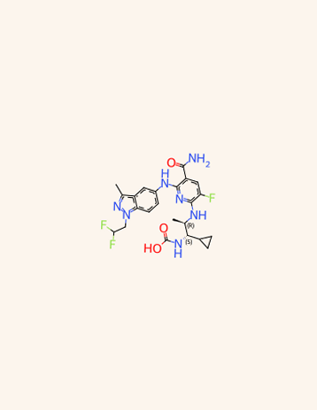 Cc1nn(CC(F)F)c2ccc(Nc3nc(N[C@H](C)[C@@H](NC(=O)O)C4CC4)c(F)cc3C(N)=O)cc12